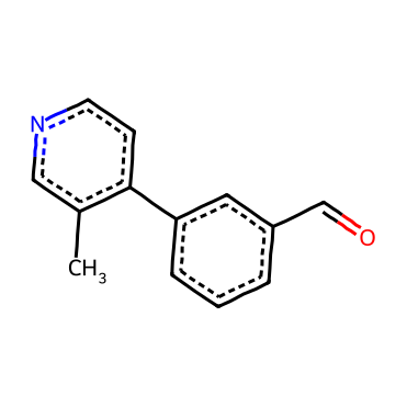 Cc1cnccc1-c1cccc(C=O)c1